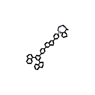 C=C1/C=C\C=C/CN(c2ccc(-c3ccc4cc(-c5ccc(-c6cc(-c7cccc8ccccc78)cc(-c7cccc8ccccc78)c6)cc5)ccc4c3)cc2)c2ccccc21